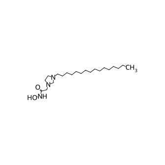 CCCCCCCCCCCCCCCCN1CCN(CC(=O)NO)C1